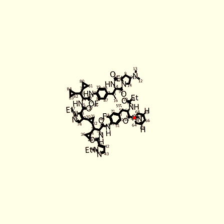 CCC(=O)N[C@@H](C(=O)N1CC[C@H](N(C)C)C1)[C@@H](C)c1ccc(NC(=O)[C@@H](NC(=O)c2c(C3CC3C(C3CC3)[C@H](NC(=O)c3ccnn3CC)C(=O)Nc3ccc([C@H](C)[C@@H](NC(=O)CC)C(=O)N4C[C@H]5C[C@@H](C4)N5C)cc3F)cnn2CC)C(C2CC2)C2CC2)c(F)c1